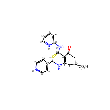 O=C1CC(C(=O)O)CC(NCc2ccncc2)=C1C(=S)Nc1ccccn1